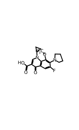 COc1c(N2CCCC2)c(F)cc2c(=O)c(C(=O)O)cn(C3CC3)c12